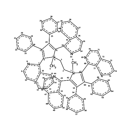 C[Si]1(CC[Si]2(C)C(c3nccc4ccccc34)=C(c3ccccc3)C(c3ccccc3)=C2c2nccc3ccccc23)C(c2nccc3ccccc23)=C(c2ccccc2)C(c2ccccc2)=C1c1nccc2ccccc12